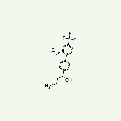 CCCC(O)c1ccc(-c2ccc(C(F)(F)F)cc2OC)cc1